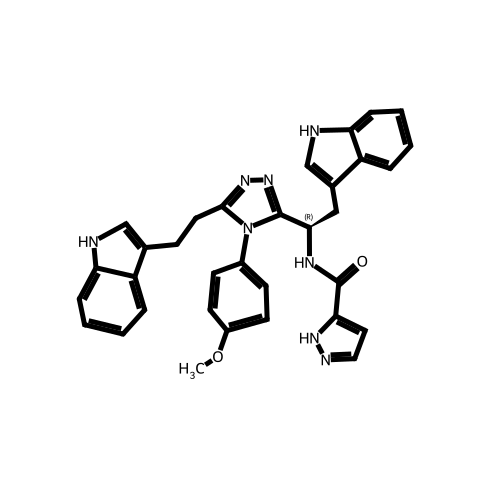 COc1ccc(-n2c(CCc3c[nH]c4ccccc34)nnc2[C@@H](Cc2c[nH]c3ccccc23)NC(=O)c2ccn[nH]2)cc1